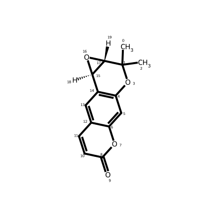 CC1(C)Oc2cc3oc(=O)ccc3cc2[C@H]2O[C@@H]21